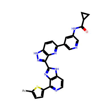 CC(=O)c1ccc(-c2nccc3[nH]c(-c4n[nH]c5ccc(-c6cncc(NC(=O)C7CC7)c6)nc45)nc23)s1